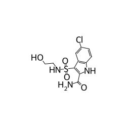 NC(=O)c1[nH]c2ccc(Cl)cc2c1S(=O)(=O)NCCO